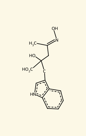 C/C(CC(O)(Cc1c[nH]c2ccccc12)C(=O)O)=N\O